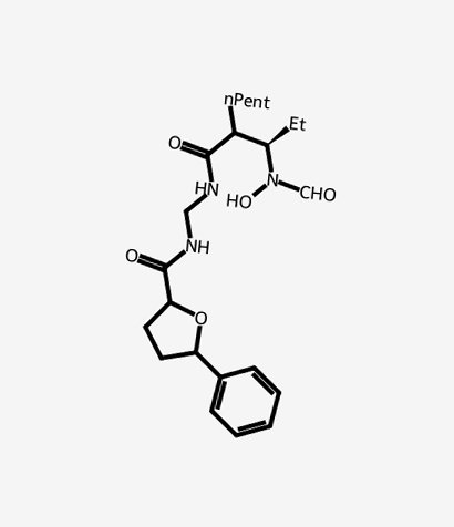 CCCCCC(C(=O)NCNC(=O)C1CCC(c2ccccc2)O1)[C@@H](CC)N(O)C=O